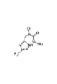 CCN(Cc1nc(C(F)(F)F)c[nH]1)C(=O)OC(C)(C)C